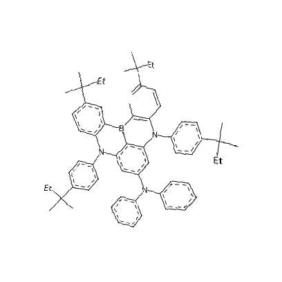 C=C(/C=C\C1=C(C)B2c3cc(C(C)(C)CC)ccc3N(c3ccc(C(C)(C)CC)cc3)c3cc(N(c4ccccc4)c4ccccc4)cc(c32)N1c1ccc(C(C)(C)CC)cc1)C(C)(C)CC